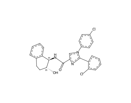 O=C(N[C@@H]1c2ccccc2CC[C@H]1O)c1cn(-c2ccc(Cl)cc2)c(-c2ccccc2Cl)n1